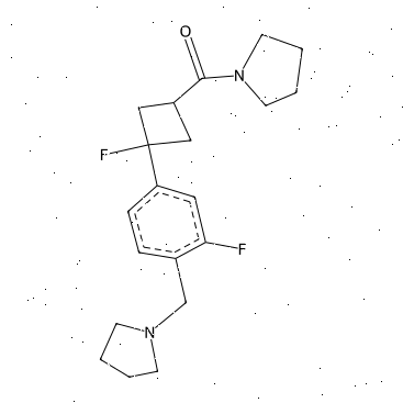 O=C(C1CC(F)(c2ccc(CN3CCCC3)c(F)c2)C1)N1CCCC1